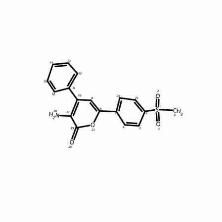 CS(=O)(=O)c1ccc(-c2cc(-c3ccccc3)c(N)c(=O)o2)cc1